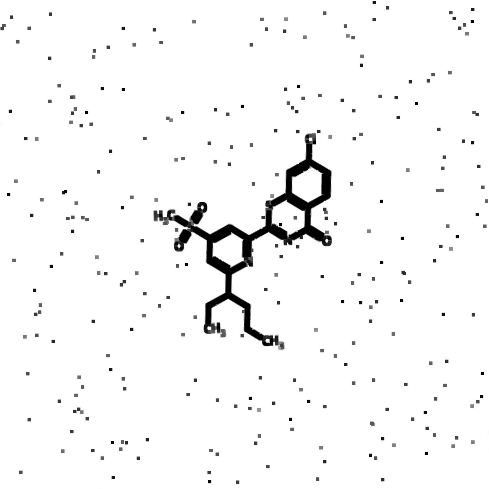 CCCC(CC)c1cc(S(C)(=O)=O)cc(-c2nc(=O)c3ccc(Cl)cc3s2)n1